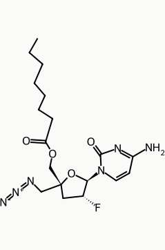 CCCCCCCC(=O)OC[C@]1(CN=[N+]=[N-])C[C@@H](F)[C@H](n2ccc(N)nc2=O)O1